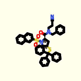 N#CCCN(Cc1ccccc1)C(=O)[C@@H]1C[C@@H](SC(c2ccccc2)(c2ccccc2)c2ccccc2)CN1S(=O)(=O)c1ccc2ccccc2c1